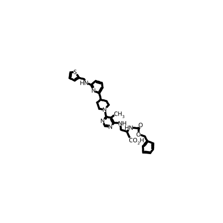 Cc1c(NCC(NC(=O)OCc2ccccc2)C(=O)O)ncnc1N1CCC(c2cccc(NCc3cccs3)n2)CC1